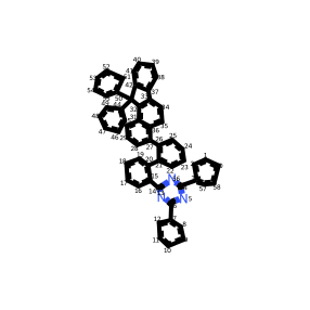 c1ccc(-c2nc(-c3ccccc3)nc(-c3ccccc3-c3ccccc3-c3cccc4c5c(ccc34)-c3ccccc3C5(c3ccccc3)c3ccccc3)n2)cc1